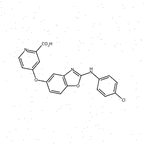 O=C(O)c1cc(Oc2ccc3oc(Nc4ccc(Cl)cc4)nc3c2)ccn1